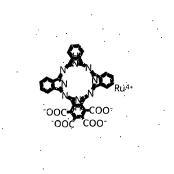 O=C([O-])c1c(C(=O)[O-])c(C(=O)[O-])c2c3nc4nc(nc5[nH]c(nc6nc(nc([nH]3)c2c1C(=O)[O-])-c1ccccc1-6)c1ccccc51)-c1ccccc1-4.[Ru+4]